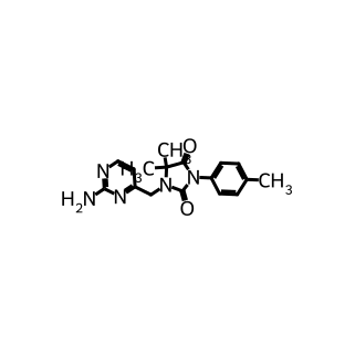 Cc1ccc(N2C(=O)N(Cc3ccnc(N)n3)C(C)(C)C2=O)cc1